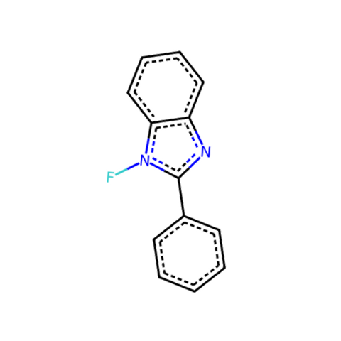 Fn1c(-c2ccccc2)nc2ccccc21